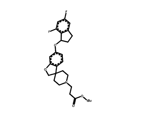 CC(C)(C)OC(=O)CCN1CCC2(CC1)COc1cc(OC3CCc4cc(F)cc(F)c43)ccc12